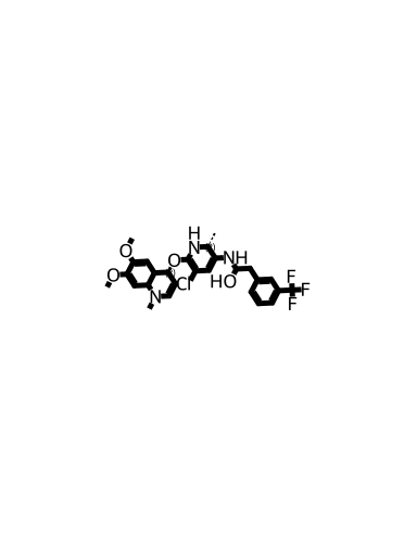 COC1=CC2C(C=C1OC)N(C)C=C[C@@H]2OC1=C(Cl)C=C(NC(O)Cc2cccc(C(F)(F)F)c2)[C@@H](C)N1